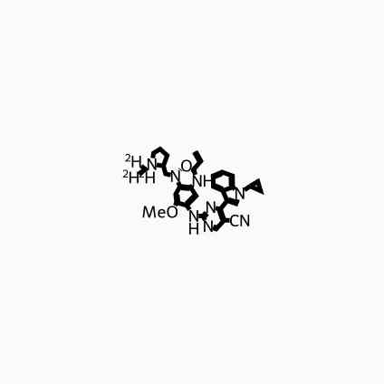 [2H]C([2H])([2H])N1CCCC1CN(C)c1cc(OC)c(Nc2ncc(C#N)c(-c3cn(C4CC4)c4ccccc34)n2)cc1NC(=O)C=C